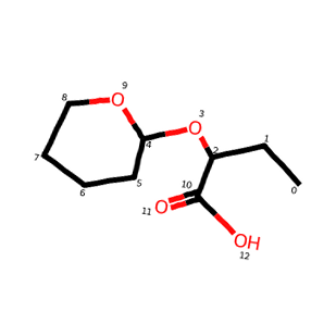 CCC(OC1CCCCO1)C(=O)O